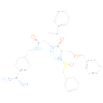 N=C(N)c1ccc(CNC(=O)[C@H](CCc2ccccc2)NC(=O)C(COCc2ccccc2)N[S+]([O-])Cc2ccccc2)cc1